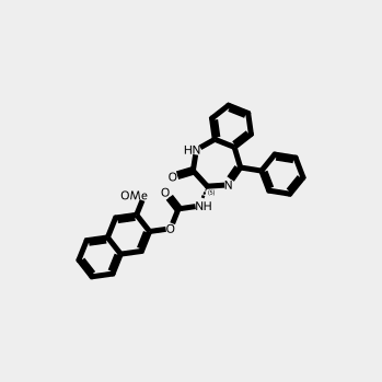 COc1cc2ccccc2cc1OC(=O)N[C@H]1N=C(c2ccccc2)c2ccccc2NC1=O